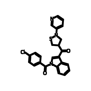 O=C(c1cn(C(=O)c2ccc(Cl)cc2)c2ccccc12)C1CSN(c2cccnc2)C1